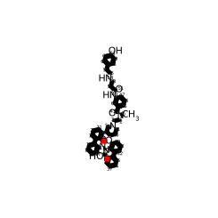 CN(CCN1CCC(OC(=O)N(c2ccccc2-c2ccccc2)N(C(=O)O)c2ccccc2-c2ccccc2)CC1)C(=O)c1cccc(NC(=O)CCNCCc2ccc(O)cc2)c1